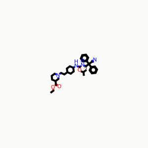 CCOC(=O)C1CCCN(CCC2CCC(NC(=O)N[C@@H](CC(C)C)C(C#N)(c3ccccc3)c3ccccc3)CC2)C1